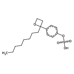 CCCCCCCCC1(c2ccc(OS(=O)(=O)O)cc2)CCO1